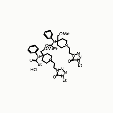 CCC(=O)N(c1ccccc1)C1(COC)CCN(CCn2nnn(CC)c2=O)CC1.CCC(=O)N(c1ccccc1)C1(COC)CCN(CCn2nnn(CC)c2=O)CC1.Cl